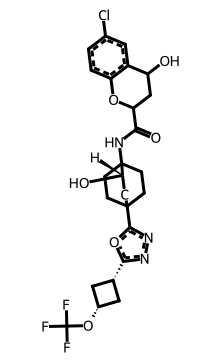 O=C(NC12CCC(c3nnc([C@H]4C[C@@H](OC(F)(F)F)C4)o3)(CC1)C[C@@H]2O)C1CC(O)c2cc(Cl)ccc2O1